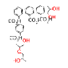 CC(O)CO.CC(O)COC(C)CO.O=C(O)c1ccccc1.O=C(O)c1ccccc1.O=C(O)c1ccccc1.O=C(O)c1ccccc1